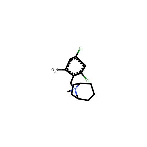 C[N+]1(Cc2c(Cl)cc(Cl)cc2[N+](=O)[O-])C2C[CH]CC1CC2